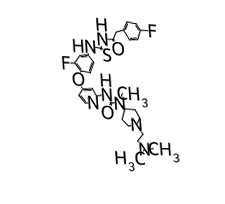 CN(C)CCN1CCC(N(C)C(=O)Nc2cc(Oc3ccc(NC(=S)NC(=O)Cc4ccc(F)cc4)cc3F)ccn2)CC1